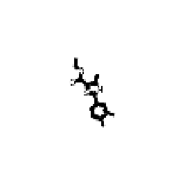 CCOC(=O)c1sc(-c2ccc(C)c(C)c2)nc1C